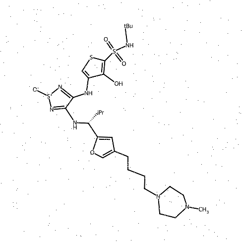 CC(C)[C@@H](Nc1n[s+]([O-])nc1Nc1csc(S(=O)(=O)NC(C)(C)C)c1O)c1cc(CCCCN2CCN(C)CC2)co1